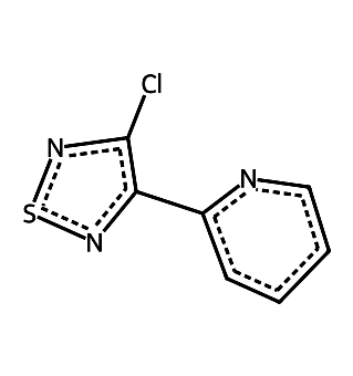 Clc1nsnc1-c1ccccn1